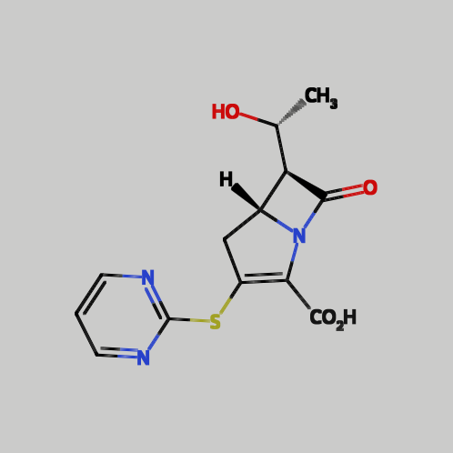 C[C@@H](O)[C@H]1C(=O)N2C(C(=O)O)=C(Sc3ncccn3)C[C@H]12